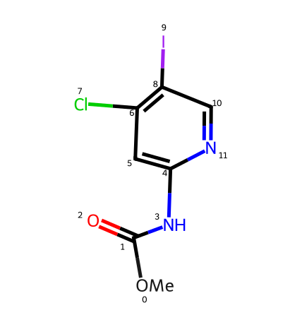 COC(=O)Nc1cc(Cl)c(I)cn1